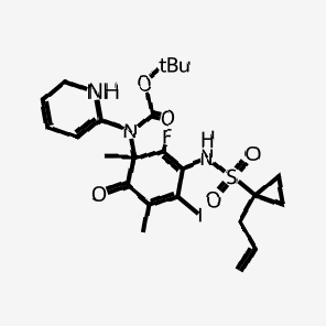 C=CCC1(S(=O)(=O)NC2=C(F)C(C)(N(C(=O)OC(C)(C)C)C3=CC=CCN3)C(=O)C(C)=C2I)CC1